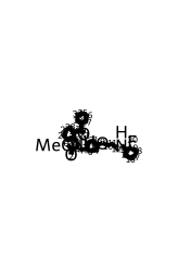 COC(=O)[C@H](Cc1ccc(OCCCNc2ccccc2F)cc1)Nc1ccccc1C(=O)c1ccccc1